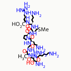 CSCC[C@H](NC(=O)[C@@H]1CCCN1C(=O)[C@@H](CCCN)NC(=O)CNC(=O)[C@H](C)NC(=O)[C@@H](NC(=O)[C@@H](N)CCCCN)[C@@H](O)CN)C(=O)N[C@@H](CCCCN)C(=O)N/C(=C\CCNC(=N)N)C(=O)O